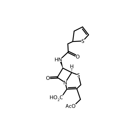 CC(=O)OCC1=C(C(=O)O)N2C(=O)[C@@H](NC(=O)CC3CC=CS3)[C@H]2SC1